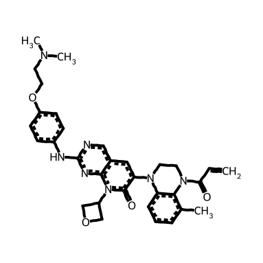 C=CC(=O)N1CCN(c2cc3cnc(Nc4ccc(OCCN(C)C)cc4)nc3n(C3COC3)c2=O)c2cccc(C)c21